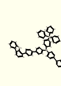 c1ccc(-c2ccc(N(c3ccc(-c4ccc(-c5cccc6c5oc5ccccc56)cc4)cc3)c3ccc([Si](c4ccccc4)(c4ccccc4)c4ccccc4)cc3)cc2)cc1